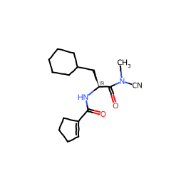 CN(C#N)C(=O)[C@H](CC1CCCCC1)NC(=O)C1=CCCC1